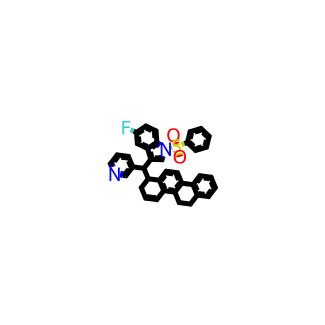 O=S(=O)(c1ccccc1)n1cc(C(c2cccnc2)C2CC=Cc3c2ccc2c3CCc3ccccc3-2)c2cc(F)ccc21